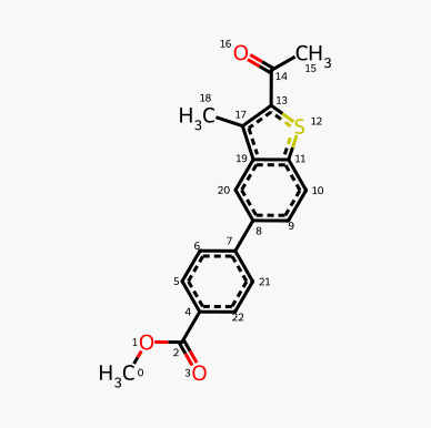 COC(=O)c1ccc(-c2ccc3sc(C(C)=O)c(C)c3c2)cc1